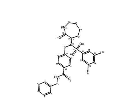 O=C(NCc1ccccc1)c1ccc(CN([C@@H]2CCCCNC2=O)S(=O)(=O)c2cc(F)cc(F)c2)cc1